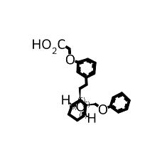 O=C(O)COc1cccc(CC[C@H]2[C@@H](COc3ccccc3)[C@H]3CC[C@@H]2O3)c1